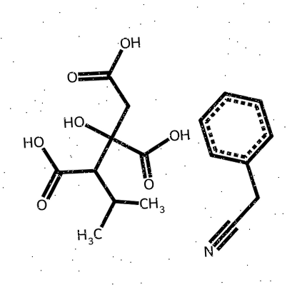 CC(C)C(C(=O)O)C(O)(CC(=O)O)C(=O)O.N#CCc1ccccc1